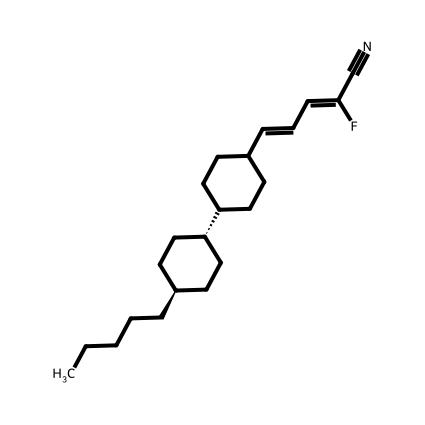 CCCCC[C@H]1CC[C@H](C2CCC(/C=C/C=C(\F)C#N)CC2)CC1